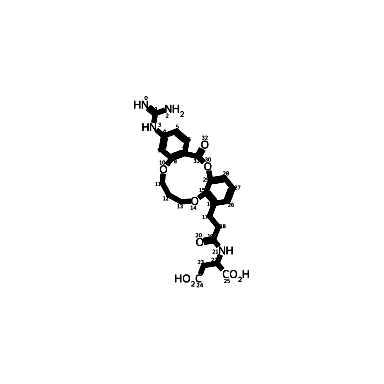 N=C(N)Nc1ccc2c(c1)OCCCOc1c(CCC(=O)NC(CC(=O)O)C(=O)O)cccc1OC2=O